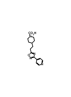 O=C(O)N1CCC(CCc2nc(-c3ccncc3)no2)CC1